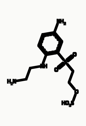 NCCNc1ccc(N)cc1S(=O)(=O)CCOS(=O)(=O)O